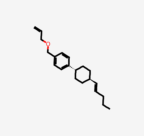 C=CCOCc1ccc([C@H]2CC[C@H](C=CCCC)CC2)cc1